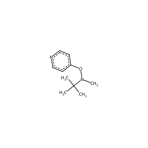 CN(Oc1ccncc1)C(C)(C)C